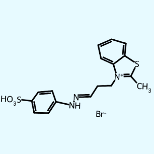 Cc1sc2ccccc2[n+]1CCC=NNc1ccc(S(=O)(=O)O)cc1.[Br-]